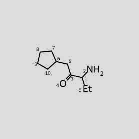 CCC(N)C(=O)CC1CCCC1